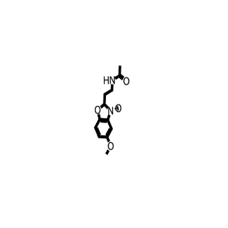 COc1ccc2c(c1)[N+](=O)C(CCNC(C)=O)O2